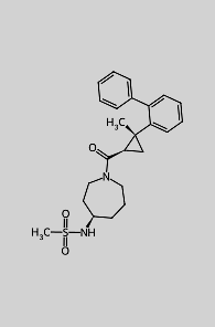 C[C@@]1(c2ccccc2-c2ccccc2)C[C@H]1C(=O)N1CCC[C@@H](NS(C)(=O)=O)CC1